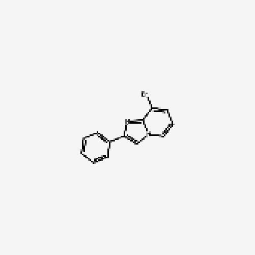 Brc1cccn2cc(-c3ccccc3)nc12